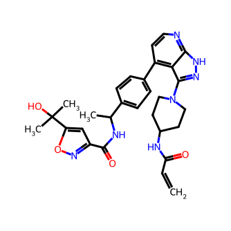 C=CC(=O)NC1CCN(c2n[nH]c3nccc(-c4ccc(C(C)NC(=O)c5cc(C(C)(C)O)on5)cc4)c23)CC1